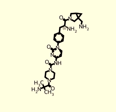 CC(C)(N)C(=O)N1CCN(C(=O)Nc2ccn(-c3ccc(C[C@H](N)C(=O)N4CC5CC5(CN)C4)cc3)c(=O)n2)CC1